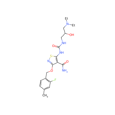 CCN(CC)CC(O)CNC(=O)Nc1snc(OCc2ccc(C)cc2F)c1C(N)=O